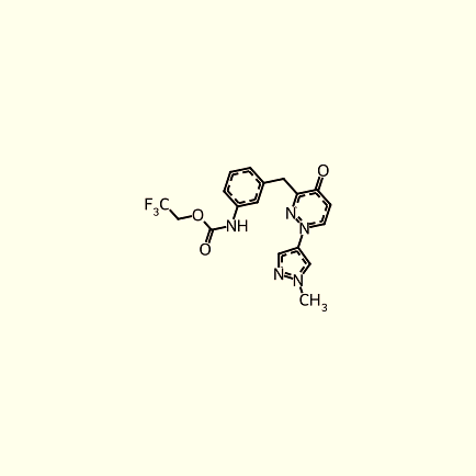 Cn1cc(-n2ccc(=O)c(Cc3cccc(NC(=O)OCC(F)(F)F)c3)n2)cn1